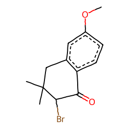 COc1ccc2c(c1)CC(C)(C)C(Br)C2=O